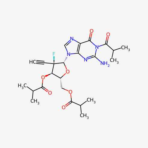 C#C[C@@]1(F)[C@H](OC(=O)C(C)C)[C@@H](COC(=O)C(C)C)O[C@H]1n1cnc2c(=O)n(C(=O)C(C)C)c(N)nc21